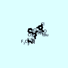 Cc1cc(Cl)cc(C(=O)NC(C)(C)C)c1NC(=O)c1cc(Cn2ncc(C(F)(F)C(F)(F)F)n2)nn1-c1ncccc1Cl